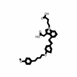 COc1ccc(CCCCOc2ccc(C=Cc3cccc4c3c(CC(=O)O)cn4CCCC(=O)O)cc2)cc1